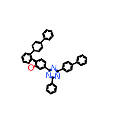 C1=CC(c2cccc3oc4cc(-c5nc(-c6ccccc6)nc(-c6ccc(-c7ccccc7)cc6)n5)ccc4c23)CC=C1c1ccccc1